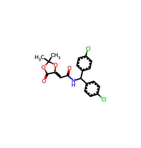 CC1(C)OC(=O)C(=CC(=O)NC(c2ccc(Cl)cc2)c2ccc(Cl)cc2)O1